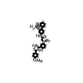 COc1ccc(C(=S)NC(=N)c2cccc(N(CC(=O)Nc3ccc(-c4ccccc4S(N)(=O)=O)cc3)C(C)C)c2)cc1